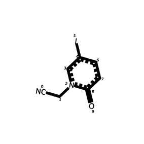 N#CCn1cc(I)ccc1=O